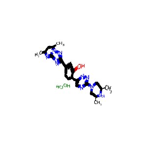 Cc1cc(C)n2nc(-c3ccc(-c4cnc(N5C[C@@H](C)N[C@@H](C)C5)nn4)c(O)c3)nc2n1.Cl.Cl